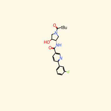 CC(C)(C)C(=O)N1CC(O)[C@@H](NC(=O)c2ccc(-c3cccc(F)c3)nc2)C1